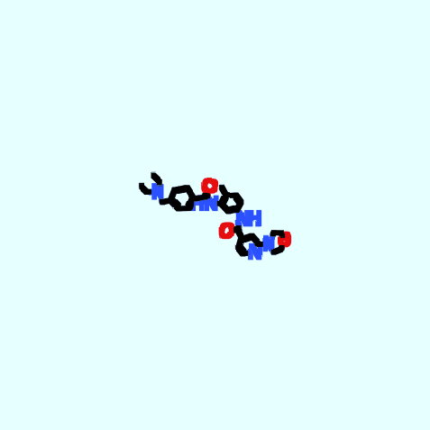 CCN(CC)Cc1ccc(C(=O)Nc2cc(NC(=O)c3ccnc(N4CCOCC4)c3)ccc2C)cc1